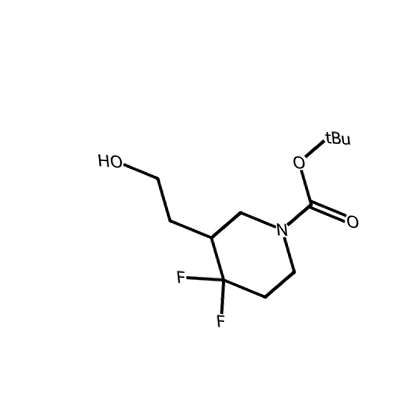 CC(C)(C)OC(=O)N1CCC(F)(F)C(CCO)C1